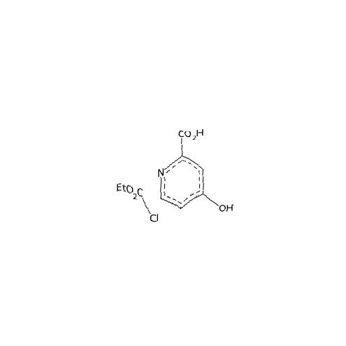 CCOC(=O)Cl.O=C(O)c1cc(O)ccn1